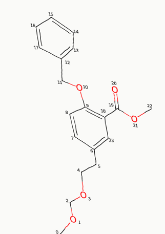 COCOCCc1ccc(OCc2ccccc2)c(C(=O)OC)c1